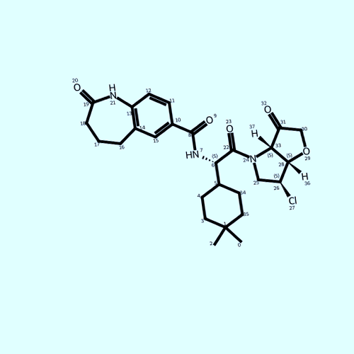 CC1(C)CCC([C@H](NC(=O)c2ccc3c(c2)CCCC(=O)N3)C(=O)N2C[C@H](Cl)[C@H]3OCC(=O)[C@H]32)CC1